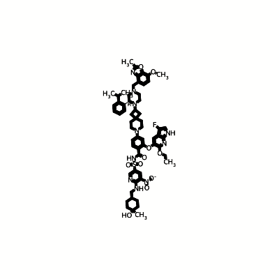 CCOc1nc2[nH]cc(F)c2cc1Oc1cc(N2CCC3(CC2)CC(N2CCN(Cc4ccc(OC)c5oc(C)nc45)C[C@H]2c2ccccc2C(C)C)C3)ccc1C(=O)NS(=O)(=O)c1cnc(NCC2CCC(C)(O)CC2)c([N+](=O)[O-])c1